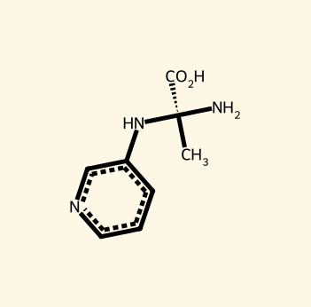 C[C@](N)(Nc1cccnc1)C(=O)O